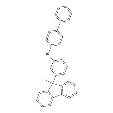 CC1(c2cccc(Nc3ccc(-c4ccccc4)cc3)c2)c2ccccc2-c2ccccc21